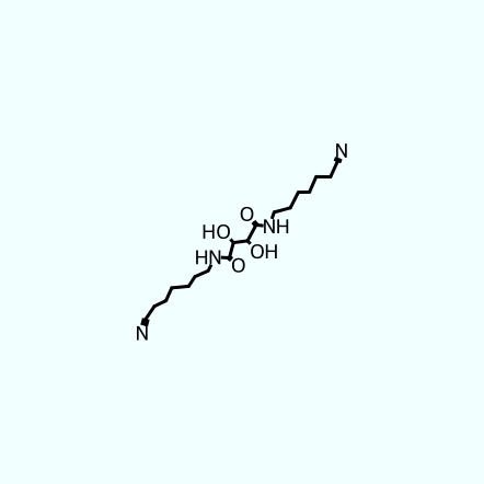 N#CCCCCCCNC(=O)C(O)C(O)C(=O)NCCCCCCC#N